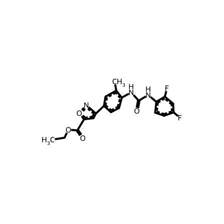 CCOC(=O)c1cc(-c2ccc(NC(=O)Nc3ccc(F)cc3F)c(C)c2)no1